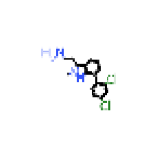 Cn1nc2c(-c3ccc(Cl)cc3Cl)cccc2c1CCN